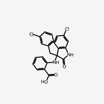 O=C(O)c1ccccc1NC1(Cc2cccc(Cl)c2)C(=O)Nc2cc(Cl)ccc21